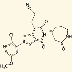 COc1cnc(Cl)c(-c2cc3c(s2)c(=O)n([C@@H]2CCCNC(=O)C2)c(=O)n3CCC#N)c1